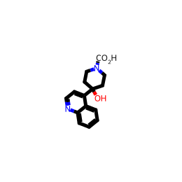 O=C(O)N1CCC(O)(c2ccnc3ccccc23)CC1